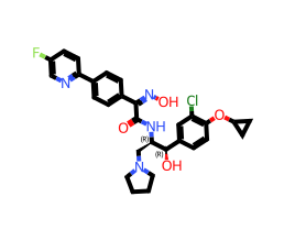 O=C(N[C@H](CN1CCCC1)[C@H](O)c1ccc(OC2CC2)c(Cl)c1)C(=NO)c1ccc(-c2ccc(F)cn2)cc1